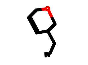 CC(C)CC1C=CCOC1